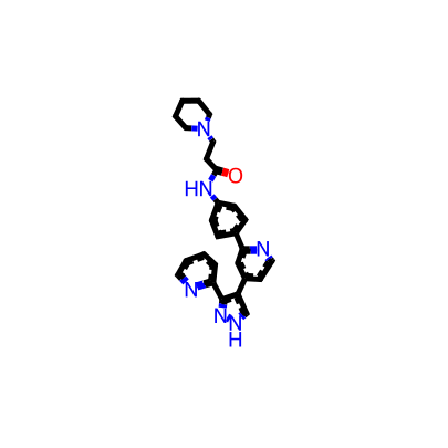 O=C(CCN1CCCCC1)Nc1ccc(-c2cc(-c3c[nH]nc3-c3ccccn3)ccn2)cc1